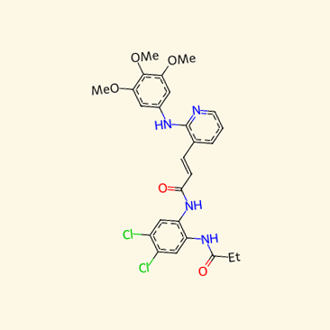 CCC(=O)Nc1cc(Cl)c(Cl)cc1NC(=O)/C=C/c1cccnc1Nc1cc(OC)c(OC)c(OC)c1